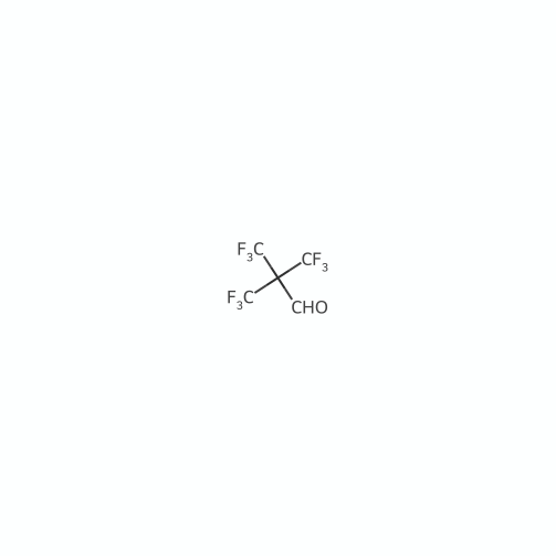 O=CC(C(F)(F)F)(C(F)(F)F)C(F)(F)F